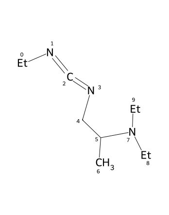 CCN=C=NCC(C)N(CC)CC